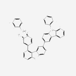 c1ccc(-n2nc3ccc(-c4cccc5oc6ccc(-c7ccc8c(c7)c7ccccc7n8-c7ccccc7)cc6c45)cc3n2)cc1